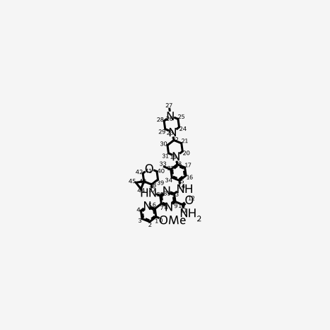 COc1cccnc1-c1nc(C(N)=O)c(Nc2ccc(N3CCC(N4CCN(C)CC4)CC3)c(C)c2)nc1NC1CCOCC12CC2